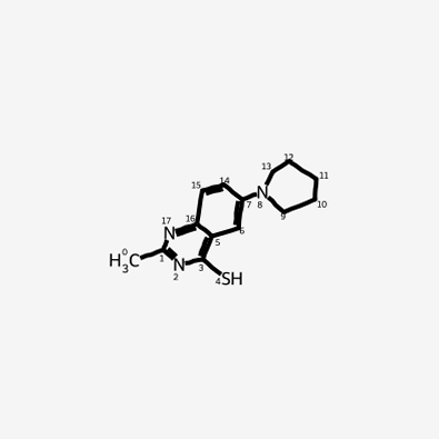 Cc1nc(S)c2cc(N3CCCCC3)ccc2n1